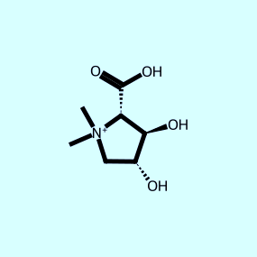 C[N+]1(C)C[C@@H](O)[C@H](O)[C@H]1C(=O)O